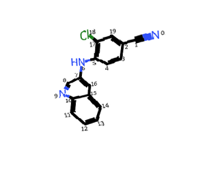 N#Cc1ccc(Nc2cnc3ccccc3c2)c(Cl)c1